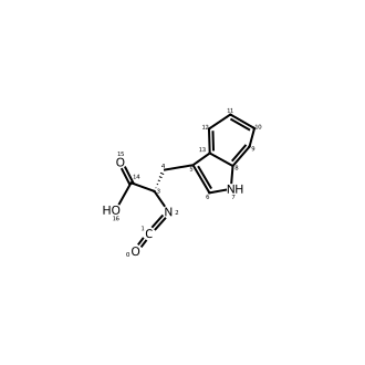 O=C=N[C@@H](Cc1c[nH]c2ccccc12)C(=O)O